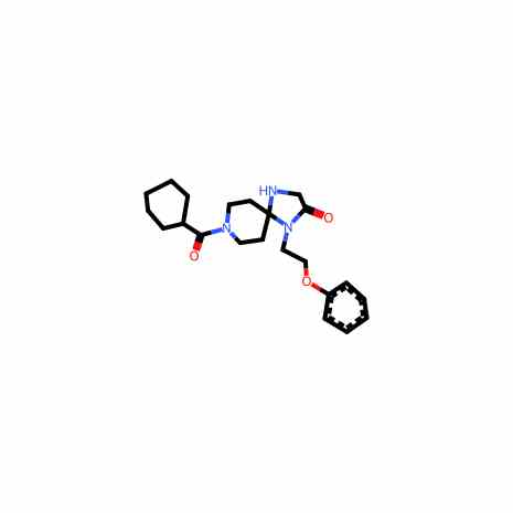 O=C(C1CCCCC1)N1CCC2(CC1)NCC(=O)N2CCOc1ccccc1